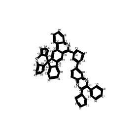 c1ccc(-c2nc3ccc(-c4cccc(-c5nc6ccccc6c6cc7c(cc56)-c5ccccc5C75c6ccccc6Sc6ccccc65)c4)cc3nc2-c2ccccc2)cc1